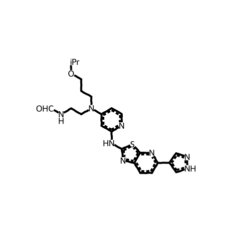 CC(C)OCCCN(CCNC=O)c1ccnc(Nc2nc3ccc(-c4cn[nH]c4)nc3s2)c1